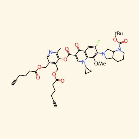 C#CCCCC(=O)OCc1cnc(C)c(OC(=O)c2cn(C3CC3)c3c(OC)c(N4CC5CCCN(C(=O)OC(C)(C)C)C5C4)c(F)cc3c2=O)c1COC(=O)CCCC#C